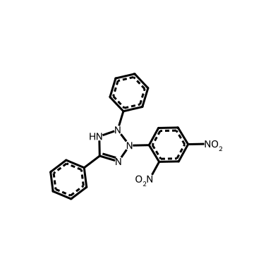 O=[N+]([O-])c1ccc(N2N=C(c3ccccc3)NN2c2ccccc2)c([N+](=O)[O-])c1